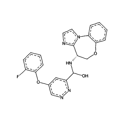 OC(N[C@H]1COc2ccccc2-n2ccnc21)c1cc(Oc2ccccc2F)cnn1